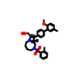 COc1ccc(C)cc1-c1ccc([C@@H]2[C@@H](CO)N3CCCCN(S(=O)(=O)c4ccccc4C)C[C@@H]23)cc1